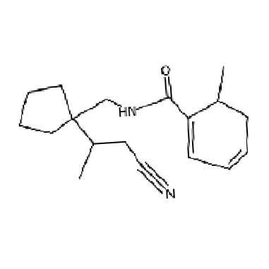 CC1CC=CC=C1C(=O)NCC1(C(C)CC#N)CCCC1